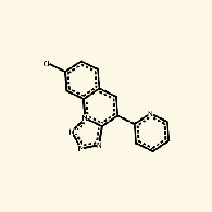 Clc1ccc2cc(-c3ccccn3)c3nnnn3c2c1